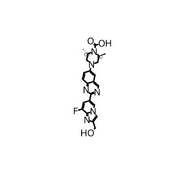 C[C@H]1CN(c2ccc3nc(-c4cc(F)c5nc(CO)cn5c4)ncc3c2)C[C@H](C)N1C(=O)O